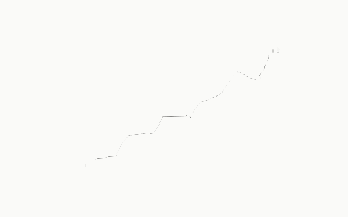 CCCCOCCCNCCCCS(=O)(=O)O